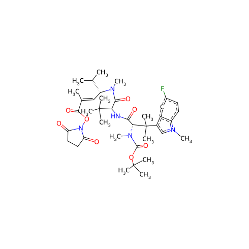 C/C(=C\[C@H](C(C)C)N(C)C(=O)C(NC(=O)[C@@H](N(C)C(=O)OC(C)(C)C)C(C)(C)c1cn(C)c2ccc(F)cc12)C(C)(C)C)C(=O)ON1C(=O)CCC1=O